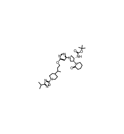 CC(C)c1noc(N2CCC(C(C)CCOc3cc(N4C[C@H](NC(=O)OC(C)(C)C)[C@@H](N5CCCCC5=O)C4)ncn3)CC2)n1